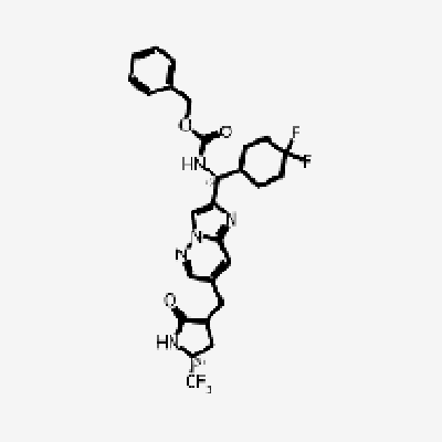 O=C(N[C@H](c1cn2ncc(CC3C[C@@H](C(F)(F)F)NC3=O)cc2n1)C1CCC(F)(F)CC1)OCc1ccccc1